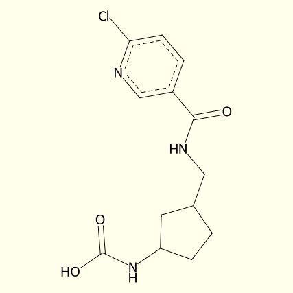 O=C(O)NC1CCC(CNC(=O)c2ccc(Cl)nc2)C1